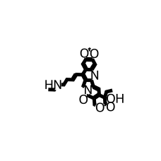 CCNCC/C=C/c1c2c(nc3cc4c(cc13)OCO4)-c1cc3c(c(=O)n1C2)COC(=O)[C@]3(O)CC